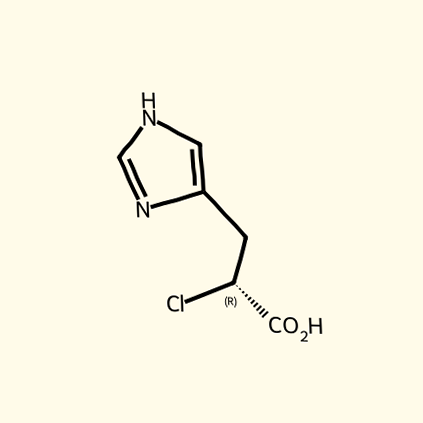 O=C(O)[C@H](Cl)Cc1c[nH]cn1